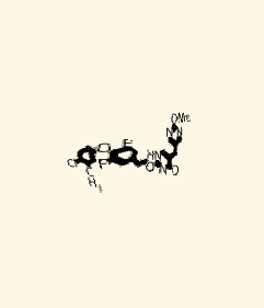 COc1ncc(Cc2c[nH]c(OCCc3cc(F)c(Oc4ccc(Cl)c(C)c4)c(F)c3)nc2=O)cn1